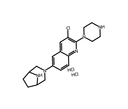 Cl.Cl.Clc1cc2cc(N3CC4CCC(C3)N4)ccc2nc1N1CCNCC1